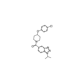 CC(C)n1nnc2cc(C(=O)N3CCC(Oc4ccc(Cl)cc4)CC3)ccc21